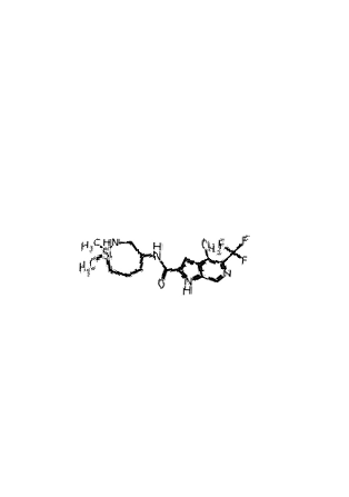 Cc1c(C(F)(F)F)ncc2[nH]c(C(=O)NC3CCC[Si](C)(C)NC3)cc12